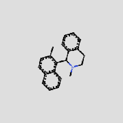 Cc1ccc2ccccc2c1C1c2ccccc2CCN1C